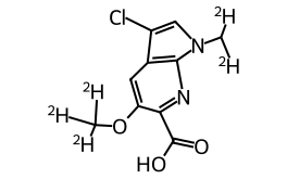 [2H]C([2H])n1cc(Cl)c2cc(OC([2H])([2H])[2H])c(C(=O)O)nc21